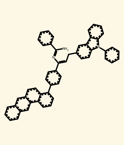 N/C(=N\C(=C/Cc1ccc2c(c1)c1ccccc1n2-c1ccccc1)c1ccc(-c2cccc3c2ccc2cc4ccccc4cc23)cc1)c1ccccc1